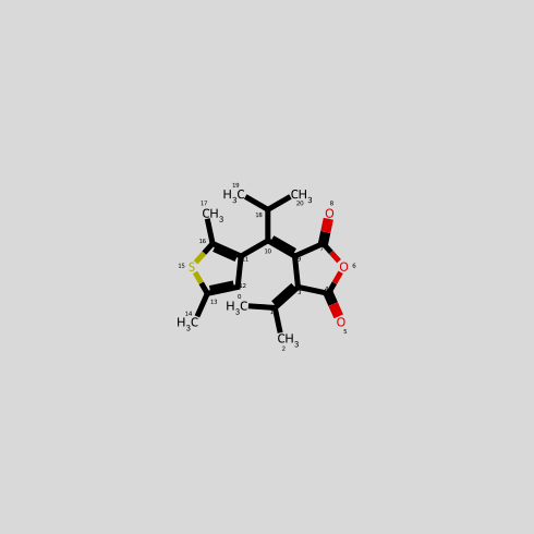 CC(C)=C1C(=O)OC(=O)/C1=C(/c1cc(C)sc1C)C(C)C